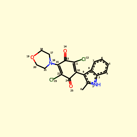 Cc1[nH]c2ccccc2c1C1=C(Cl)C(=O)C(N2CCOCC2)=C(Cl)C1=O